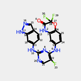 O=C1Nc2cc(Nc3nc(Nc4ccc5cn[nH]c5c4)ncc3F)ccc2OC1(F)F